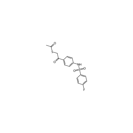 CC(=O)SCC(=O)c1ccc(NS(=O)(=O)c2ccc(F)cc2)cc1